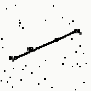 CCCCCCCCCCCCCCCCOCCCCCCCCCCCCCCCCCCCC(O)CCCCCCCCCCCCCC